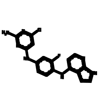 Nc1nc(Cl)cc(Nc2ccc(Nc3ccnc4[nH]ccc34)c(F)c2)n1